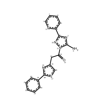 Nc1nc(-c2ccccn2)nn1C(=O)Cc1csc(-c2ccccc2)n1